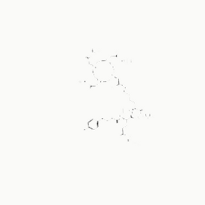 COC(=O)C(CCCCNC(=O)CN1CCN(CC(=O)OC(C)(C)C)CCN(CC(=O)OC(C)(C)C)CCN(CC(=O)OC(C)(C)C)CC1)NC(=O)C(CCC(=O)OC(C)(C)C)NC(=O)CCCc1ccc(I)cc1